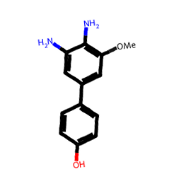 COc1cc(-c2ccc(O)cc2)cc(N)c1N